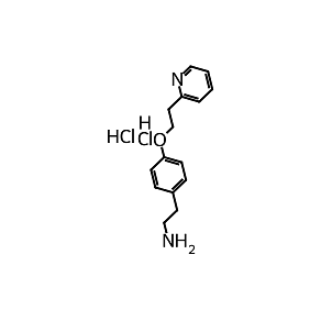 Cl.Cl.NCCc1ccc(OCCc2ccccn2)cc1